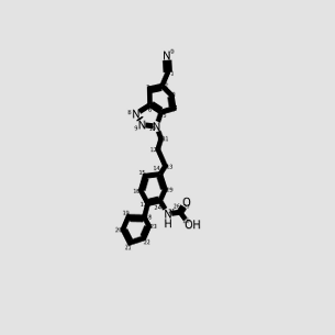 N#Cc1ccc2c(c1)nnn2CCCc1ccc(-c2ccccc2)c(NC(=O)O)c1